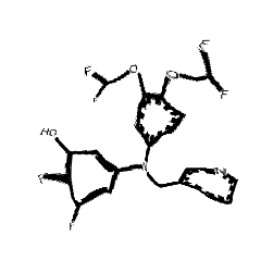 O[C]1C=C(N(Cc2cccnc2)c2ccc(OC(F)F)c(OC(F)F)c2)C=C(F)C1F